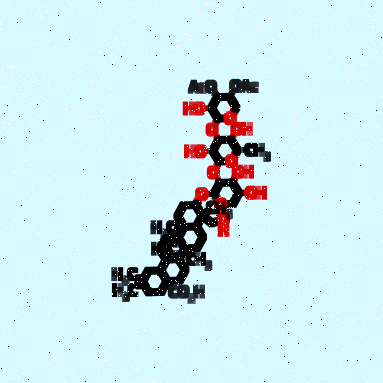 CC(=O)O[C@@H]1[C@@H](O)[C@H](O[C@H]2[C@@H](O)[C@H](O[C@H]3[C@H](OC4CCC5(C)C(CCC6(C)C5CC=C5C7CC(C)(C)CCC7(C(=O)O)CCC56C)C4(C)CO)OC[C@H](O)[C@@H]3O)O[C@@H](C)[C@H]2O)OC[C@H]1OC(C)=O